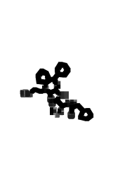 C[C@H](NC(=O)CC1CCCC1)C(=O)NC1N=C(c2ccccc2)c2ccccc2N(CCC(C)(C)C)C1=O